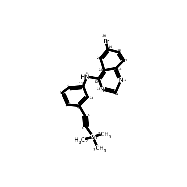 C[Si](C)(C)C#Cc1cccc(Nc2ncnc3ccc(Br)cc23)c1